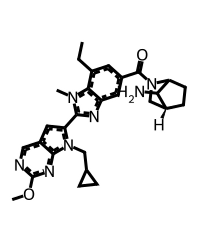 CCc1cc(C(=O)N2C[C@H]3CCC2C3N)cc2nc(-c3cc4cnc(OC)nc4n3CC3CC3)n(C)c12